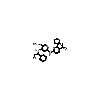 O=C(O)c1cnc(Nc2ccc3c(n2)C2(CCCC2)OC3=O)cc1NC(CO)c1ccccc1